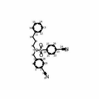 N#Cc1ccc(CN(CCCc2ccccc2)S(=O)(=O)c2ccc(C#N)cc2)cc1